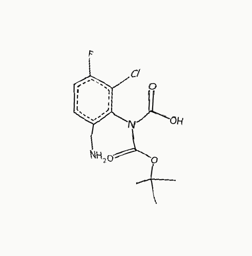 CC(C)(C)OC(=O)N(C(=O)O)c1c(N)ccc(F)c1Cl